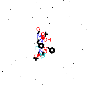 COCCN(C[C@H]1Cc2c(cc(OCc3ccccc3)c(N(CC(=O)OC(C)(C)C)C(=O)C(F)(F)F)c2F)N1C(=O)O)C(=O)OC(C)(C)C